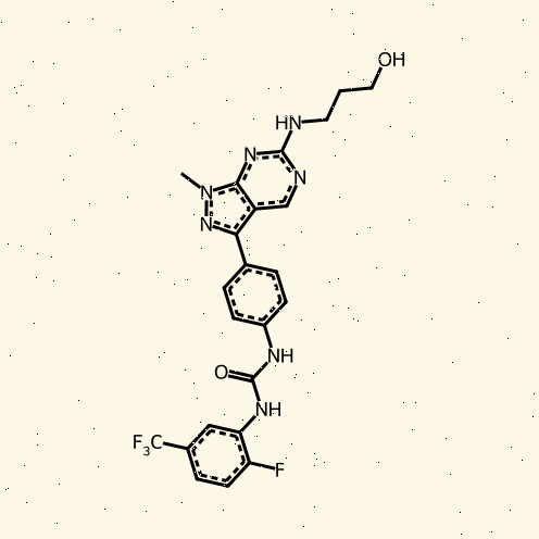 Cn1nc(-c2ccc(NC(=O)Nc3cc(C(F)(F)F)ccc3F)cc2)c2cnc(NCCCO)nc21